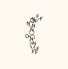 O=C1N(Cc2ccc(C(F)(F)F)cn2)CCC12CCN(c1cnc3cnn(CC(F)F)c3n1)CC2